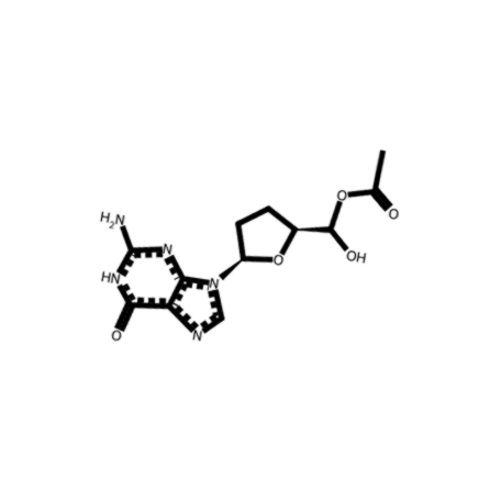 CC(=O)OC(O)[C@@H]1CC[C@H](n2cnc3c(=O)[nH]c(N)nc32)O1